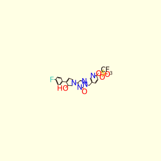 O=c1nc(N2CC=C(c3ccc(F)cc3)C(O)C2)cnn1Cc1ccc(OS(=O)(=O)C(F)(F)F)nc1